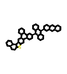 c1ccc2cc3cc(-c4c5ccccc5c(-c5ccc6c(c5)c5ccccc5c5cc7c(cc65)sc5ccc6ccccc6c57)c5ccccc45)ccc3cc2c1